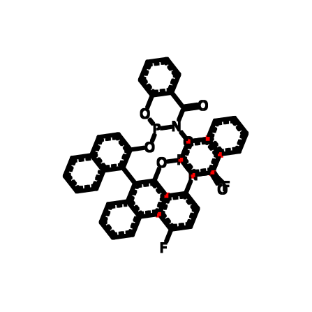 O=C1c2ccccc2OP(Oc2ccc3ccccc3c2-c2c(OP3Oc4ccccc4C(=O)N3c3ccc(F)cc3)ccc3ccccc23)N1c1ccc(F)cc1